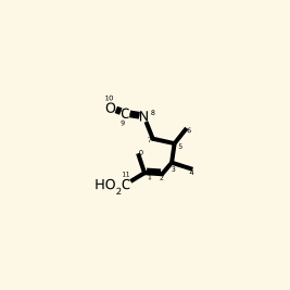 C/C(=C\C(C)C(C)CN=C=O)C(=O)O